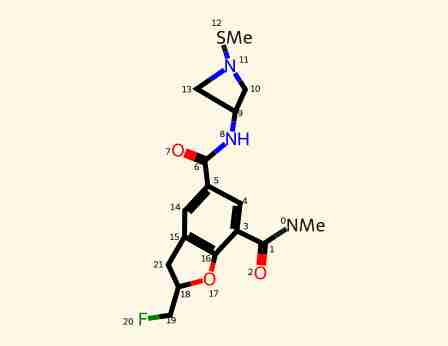 CNC(=O)c1cc(C(=O)NC2CN(SC)C2)cc2c1OC(CF)C2